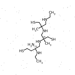 CCNCC(C)(CS)NC[C@](C)(CS)NC[C@](N)(CCS)NCC